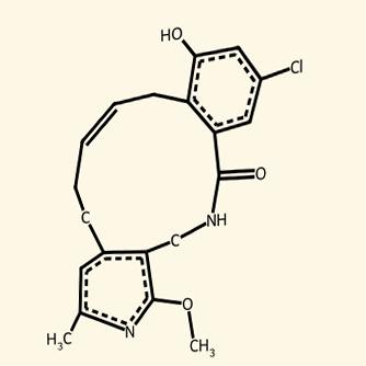 COc1nc(C)cc2c1CNC(=O)c1cc(Cl)cc(O)c1C/C=C\CC2